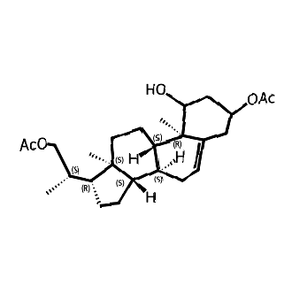 CC(=O)OC[C@@H](C)[C@H]1CC[C@H]2[C@@H]3CC=C4CC(OC(C)=O)CC(O)[C@]4(C)[C@H]3CC[C@]12C